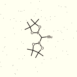 CC(C)(C)C(B1OC(C)(C)C(C)(C)O1)B1OC(C)(C)C(C)(C)O1